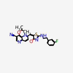 CC(C)Oc1c(C#N)cnc2ccc(C=C3SC(NCCc4cccc(F)c4)=NC3=O)nc12